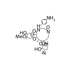 CO[C@]1(C)C[C@H](O[C@H]2[C@H](C)[C@@H](O[C@@H]3O[C@H](C)C[C@H](N(C)C)[C@H]3O)[C@](C)(O)C[C@@H](C)CN(C)C(=O)C[C@@H](Cc3ccc(N)cc3)NC(=O)[C@@H]2C)O[C@@H](C)[C@@H]1O